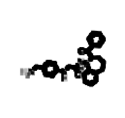 NCc1ccc(NCC(=O)NN2c3ccccc3CCCC2C(=O)c2ccccc2)cc1